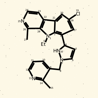 CCn1c2c(C3C=CN(Cc4cccnc4C)N3)cc(Cl)cc2c2ccnc(C)c21